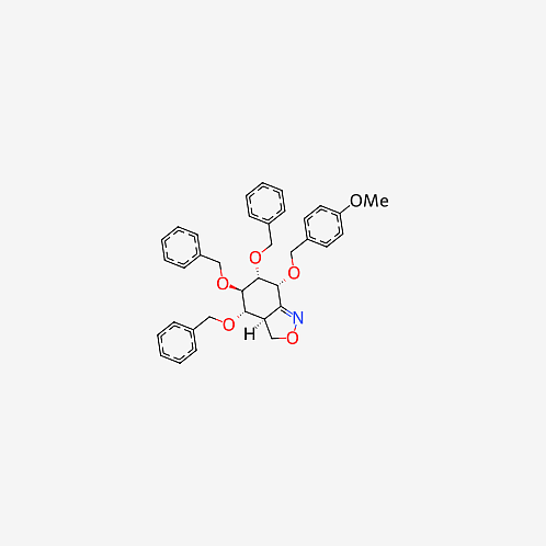 COc1ccc(CO[C@@H]2C3=NOC[C@H]3[C@H](OCc3ccccc3)[C@@H](OCc3ccccc3)[C@@H]2OCc2ccccc2)cc1